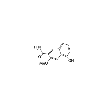 COc1cc2c(O)cccc2cc1C(N)=O